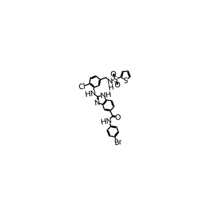 O=C(Nc1ccc(Br)cc1)c1ccc2[nH]c(Nc3cc(CNS(=O)(=O)c4cccs4)ccc3Cl)nc2c1